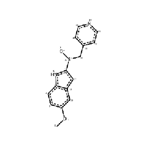 COc1ccc2[nH]c([S+]([O-])Cc3ccncc3)cc2c1